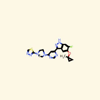 CC1(Oc2cc3c(-c4cc(N5CCN(c6nncs6)CC5)ncn4)n[nH]c3cc2F)CC1